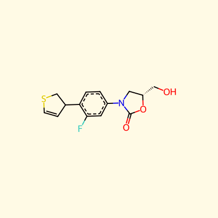 O=C1O[C@@H](CO)CN1c1ccc(C2C=CSC2)c(F)c1